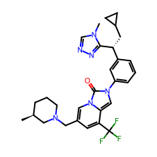 C[C@H]1CCCN(Cc2cc(C(F)(F)F)c3cn(-c4cccc([C@@H](CC5CC5)c5nncn5C)c4)c(=O)n3c2)C1